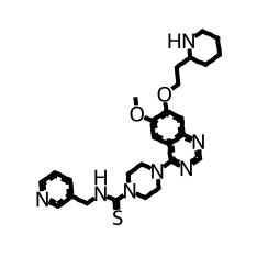 COc1cc2c(N3CCN(C(=S)NCc4cccnc4)CC3)ncnc2cc1OCCC1CCCCN1